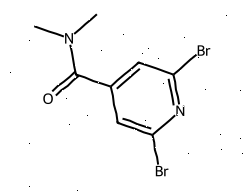 CN(C)C(=O)c1cc(Br)nc(Br)c1